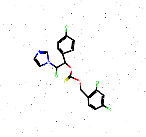 S=C(OCc1ccc(Cl)cc1Cl)OC(c1ccc(Cl)cc1)C(Cl)n1ccnc1